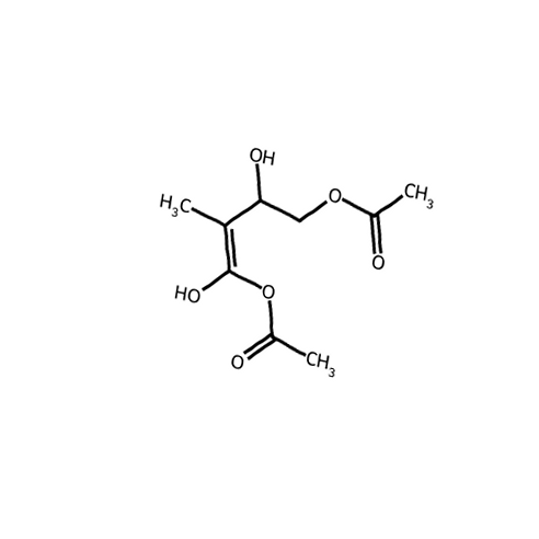 CC(=O)OCC(O)C(C)=C(O)OC(C)=O